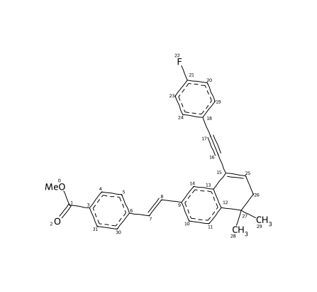 COC(=O)c1ccc(/C=C/c2ccc3c(c2)C(C#Cc2ccc(F)cc2)=CCC3(C)C)cc1